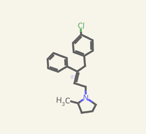 CC1CCCN1C/C=C(\Cc1ccc(Cl)cc1)c1ccccc1